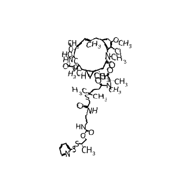 COc1cc2cc(c1Cl)N(C)C(=O)C[C@H](OC(=O)[C@H](C)N(C)C(=O)CCC(C)(C)SCC(=O)NCCNC(=O)OC[C@H](C)SSc1ccccn1)[C@@]1(C)C[C@H]1[C@H](C)[C@@H]1C[C@@](O)(NC(=O)O1)[C@H](OC)/C=C/C=C(\C)C2